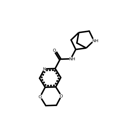 O=C(NC1CC2CNC1C2)c1cc2c(cn1)OCCO2